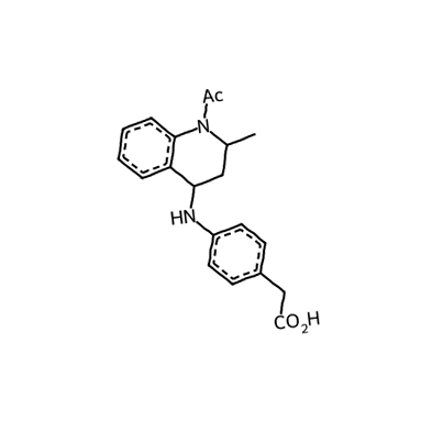 CC(=O)N1c2ccccc2C(Nc2ccc(CC(=O)O)cc2)CC1C